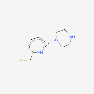 FCc1cccc(N2CCNCC2)n1